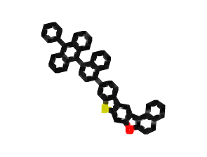 c1ccc(-c2c3ccccc3c(-c3ccc(-c4ccc5c(c4)sc4cc6oc7ccc8ccccc8c7c6cc45)c4ccccc34)c3ccccc23)cc1